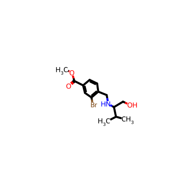 COC(=O)c1ccc(CNC(CO)C(C)C)c(Br)c1